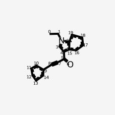 CCn1cc(C(=O)C#Cc2ccccc2)c2ccccc21